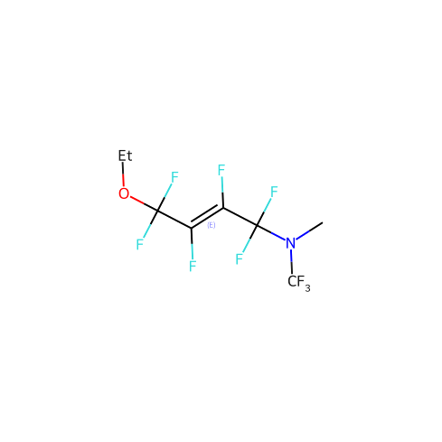 CCOC(F)(F)/C(F)=C(\F)C(F)(F)N(C)C(F)(F)F